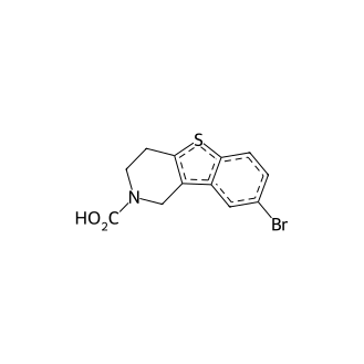 O=C(O)N1CCc2sc3ccc(Br)cc3c2C1